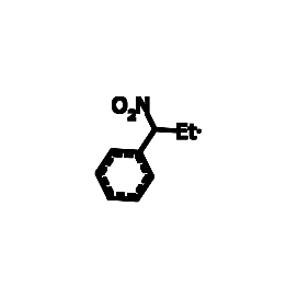 C[CH]C(c1ccccc1)[N+](=O)[O-]